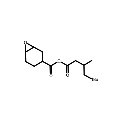 CC(CC(=O)OC(=O)C1CCC2OC2C1)CC(C)(C)C